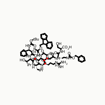 CC[C@H](C)[C@H](NC(=O)[C@@H](CCCNC(=N)N)NC(=O)[C@H](CC(C)C)NC(=O)[C@@H](NC(=O)[C@@H](NC(=O)OCC1c2ccccc2-c2ccccc21)[C@H](NC(=O)OC(C)(C)C)c1ccccc1)[C@H](O)C(C)C)C(=O)N[C@H](C(=O)NCC(=O)N[C@@H](CCNC(=O)OCc1ccccc1)C(=O)N[C@@H](CO)C(=O)O)[C@H](C)O